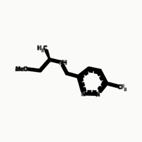 COC[C@@H](C)NCc1ccc(C(F)(F)F)nn1